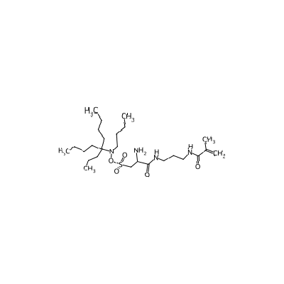 C=C(C)C(=O)NCCCNC(=O)C(N)CS(=O)(=O)ON(CCCC)C(CCC)(CCCC)CCCC